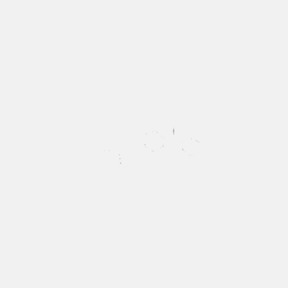 COC(=O)CC1CCc2cc(C(=O)c3ccccc3)c(O)cc21